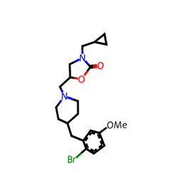 COc1ccc(Br)c(CC2CCN(CC3CN(CC4CC4)C(=O)O3)CC2)c1